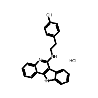 Cl.Oc1ccc(CCNc2nc3ccccc3c3[nH]c4ccccc4c23)cc1